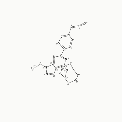 O=C=Nc1ccc(-c2nc(N3C4COCC3COC4)c3cnn(CC(F)(F)F)c3n2)cc1